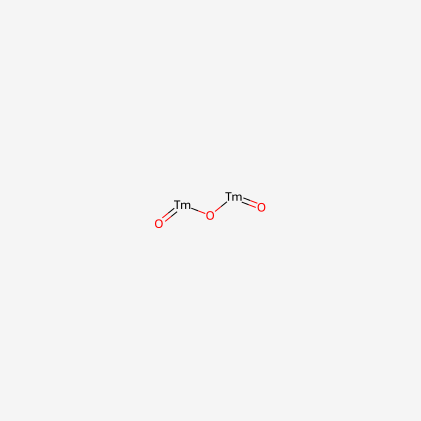 [O]=[Tm][O][Tm]=[O]